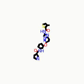 Cc1ccsc1C(=O)Nc1cn2nc(Oc3cccc(NC(=O)c4cccnc4)c3)ccc2n1